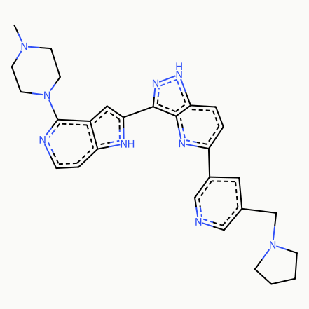 CN1CCN(c2nccc3[nH]c(-c4n[nH]c5ccc(-c6cncc(CN7CCCC7)c6)nc45)cc23)CC1